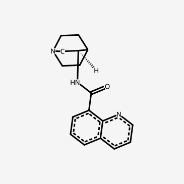 O=C(N[C@H]1CN2CCC1CC2)c1cccc2cccnc12